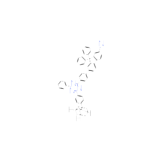 N#Cc1ccc2c(c1)C(c1ccccc1)(c1ccccc1)c1cc(-c3ccc(-c4nc(-c5ccccc5)nc(-c5ccc(C67C[C@H]8C[C@@H](C6)C[C@@H](C7)C8)cc5)n4)cc3)ccc1-2